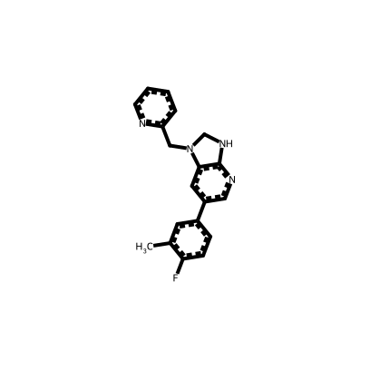 Cc1cc(-c2cnc3c(c2)N(Cc2ccccn2)CN3)ccc1F